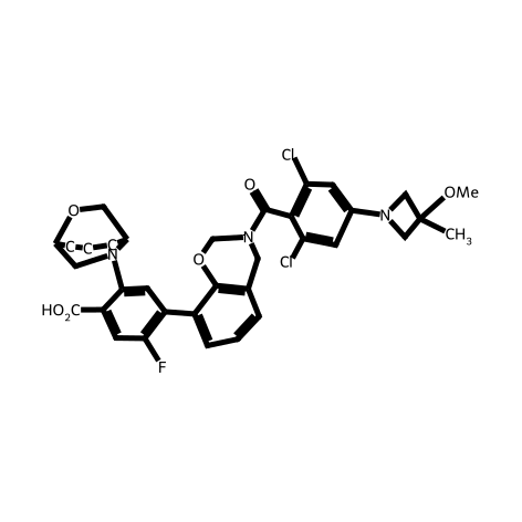 COC1(C)CN(c2cc(Cl)c(C(=O)N3COc4c(cccc4-c4cc(N5CC6CCCC5CO6)c(C(=O)O)cc4F)C3)c(Cl)c2)C1